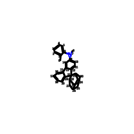 Cc1ccccc1N(C)c1ccc2c(c1)-c1ccccc1C21C2CC3CC(C2)CC1C3